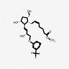 COC(=O)CCC/C=C\C[C@H]1[C@@H](CO)C[C@@H](O)[C@@H]1/C=C/[C@@H](O)COc1cccc(C(F)(F)F)c1